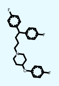 Fc1ccc(OC2CCN(CCCC(c3ccc(F)cc3)c3ccc(F)cc3)CC2)cc1